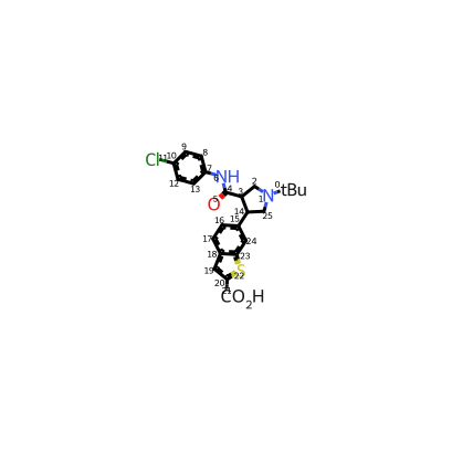 CC(C)(C)N1CC(C(=O)Nc2ccc(Cl)cc2)C(c2ccc3cc(C(=O)O)sc3c2)C1